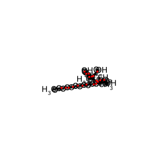 CCN1C(=CC=CC=CC2=[N+](CCCCCC(=O)O)c3ccc(SOOO)cc3C2(C)C)C(C)(CCOCCOCCOCCOCCOCCOCCOCCOCCOCCOCCOC)c2cc(S(=O)(=O)O)ccc21